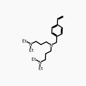 C=Cc1ccc(CN(CCCN(CC)CC)CCCN(CC)CC)cc1